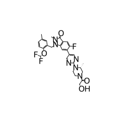 Cc1ccc(OC(F)F)c(Cn2c3cc(-c4cnc(N5CCN(C(=O)CO)C[C@H]5C)nc4)c(F)cc3c(=O)n2C)c1